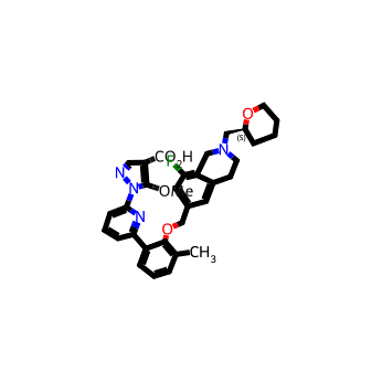 COc1c(C(=O)O)cnn1-c1cccc(-c2cccc(C)c2OCc2cc(F)c3c(c2)CCN(C[C@@H]2CCCCO2)C3)n1